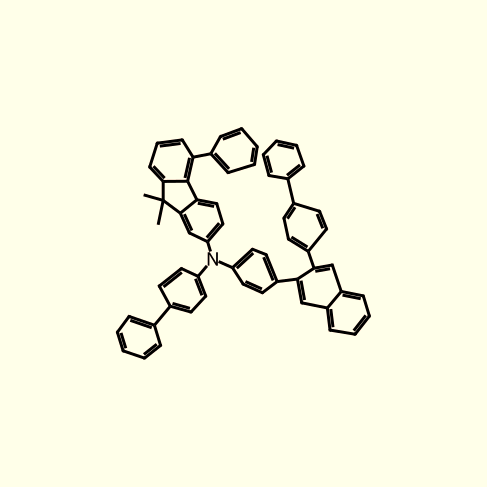 CC1(C)c2cc(N(c3ccc(-c4ccccc4)cc3)c3ccc(-c4cc5ccccc5cc4-c4ccc(-c5ccccc5)cc4)cc3)ccc2-c2c(-c3ccccc3)cccc21